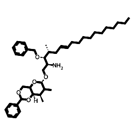 CCCCCCCCCCCC=CC[C@@H](C)[C@@H](OCc1ccccc1)[C@@H](N)CO[C@H]1OC2COC(c3ccccc3)O[C@@H]2[C@H](C)C1C